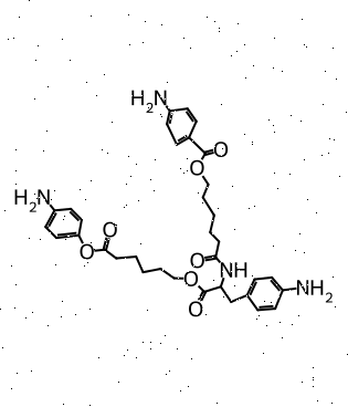 Nc1ccc(CC(NC(=O)CCCCCOC(=O)c2ccc(N)cc2)C(=O)OCCCCCC(=O)Oc2ccc(N)cc2)cc1